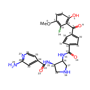 COc1ccc(O)c(C(=O)c2ccc(C(=O)NC3CNC[C@H]3NC(=O)c3ccnc(N)c3)cc2)c1F